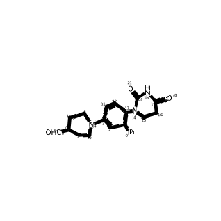 CC(C)c1cc(N2CCC(C=O)CC2)ccc1N1CCC(=O)NC1=O